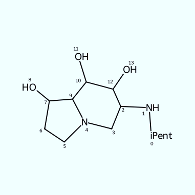 CCCC(C)NC1CN2CCC(O)C2C(O)C1O